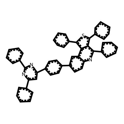 c1ccc(-c2cc(-c3ccc(-c4ccc5nc(-c6ccccc6)c6c(-c7ccccc7)sc(-c7ccccc7)c6c5c4)cc3)nc(-c3ccccc3)n2)cc1